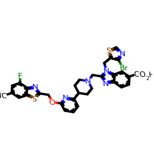 N#Cc1cc(F)c2nc(COc3cccc(C4CCN(Cc5nc6ccc(C(=O)O)cc6n5Cc5scnc5Br)CC4)n3)sc2c1